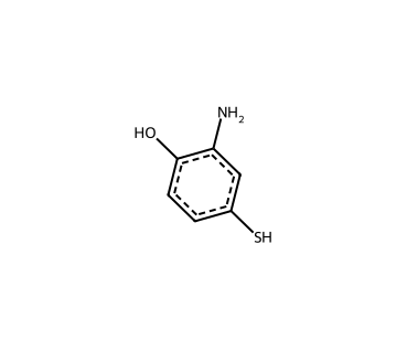 Nc1cc(S)ccc1O